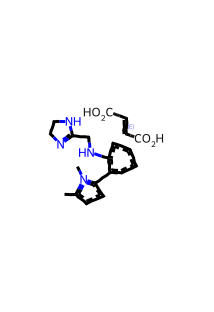 Cc1ccc(-c2ccccc2NCC2=NCCN2)n1C.O=C(O)/C=C/C(=O)O